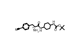 CC(C)(C)OC(=O)NC1CCC(NC(=O)[C@H](N)Cc2ccc(C#N)cc2)CC1